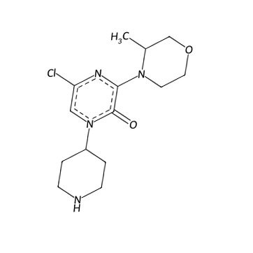 CC1COCCN1c1nc(Cl)cn(C2CCNCC2)c1=O